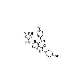 Cc1cc(Nc2cnc(C(=O)N[C@H]3CC[C@H](O)CC3)c(Nc3ccc(Cl)cc3)n2)n[nH]1